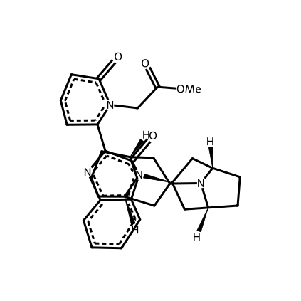 COC(=O)Cn1c(-c2nc3ccccc3n([C@@H]3C[C@H]4CC[C@@H](C3)N4C3C[C@H]4CCC[C@@H](C3)C4)c2=O)cccc1=O